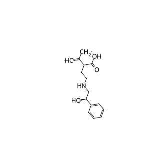 [CH]=C([CH2])C(CCNC[C@H](O)c1ccccc1)C(=O)O